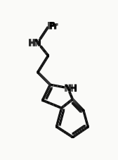 CC(C)NCCc1cc2ccccc2[nH]1